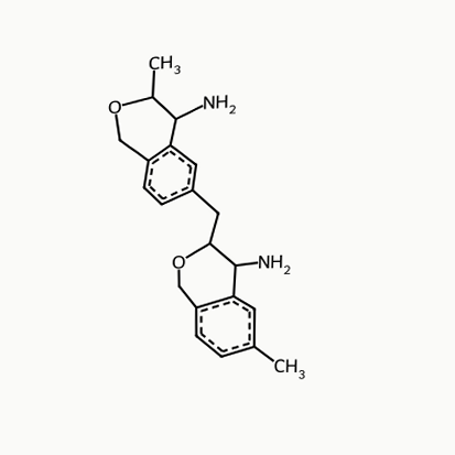 Cc1ccc2c(c1)C(N)C(Cc1ccc3c(c1)C(N)C(C)OC3)OC2